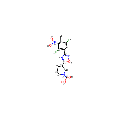 Cc1c(F)cc(-c2noc(C3CCCN(C(=O)O)C3)n2)c(F)c1[N+](=O)[O-]